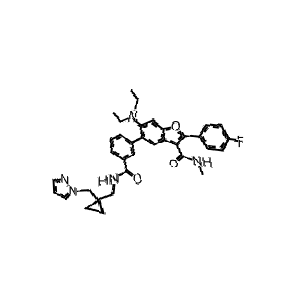 CCN(CC)c1cc2oc(-c3ccc(F)cc3)c(C(=O)NC)c2cc1-c1cccc(C(=O)NCC2(Cn3cccn3)CC2)c1